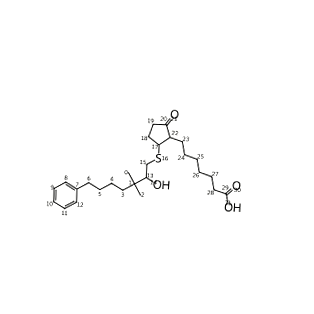 CC(C)(CCCCc1ccccc1)C(O)CSC1CCC(=O)C1CCCCCCC(=O)O